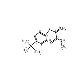 C=C(Cc1ccc(C(C)(C)C)cc1)C(=O)OC